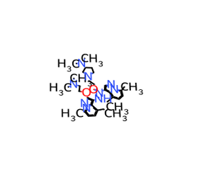 CCc1ccc(C)n2ncc(N(Nc3c(OCCN(C)C)nn4c(C)ccc(CC)c34)OCCN3CCC(N(C)C)C3)c12